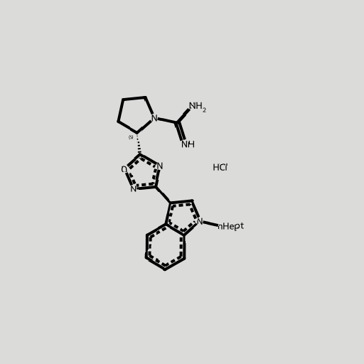 CCCCCCCn1cc(-c2noc([C@@H]3CCCN3C(=N)N)n2)c2ccccc21.Cl